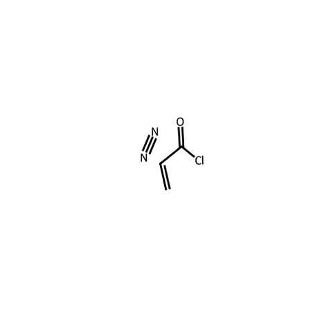 C=CC(=O)Cl.N#N